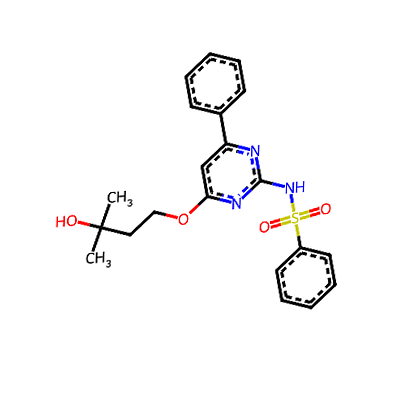 CC(C)(O)CCOc1cc(-c2ccccc2)nc(NS(=O)(=O)c2ccccc2)n1